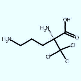 NCCC[C@@](N)(C(=O)O)C(Cl)(Cl)Cl